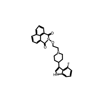 O=C1c2cccc3cccc(c23)C(=O)N1OCCN1CCC(c2c[nH]c3cccc(F)c23)CC1